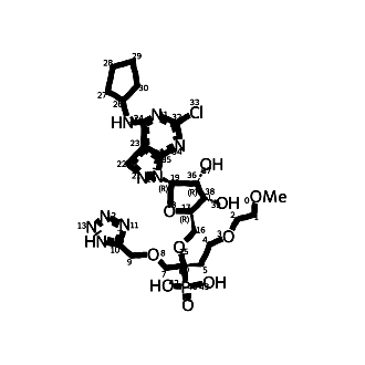 COCCOCC[C@@](COCc1nnn[nH]1)(OC[C@H]1O[C@@H](n2ncc3c(NC4CCCC4)nc(Cl)nc32)[C@H](O)[C@@H]1O)P(=O)(O)O